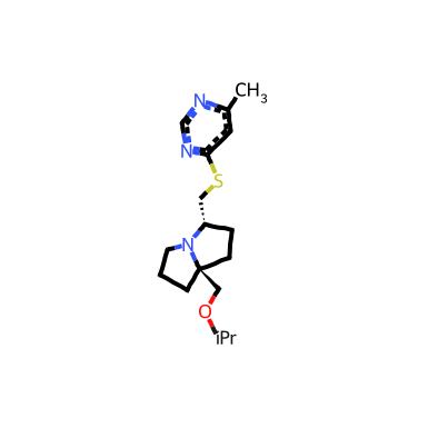 Cc1cc(SC[C@@H]2CC[C@]3(COC(C)C)CCCN23)ncn1